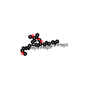 CCCCCCCC1(CCCCCCC)c2ccccc2-c2ccc(-c3ccc4c(c3)C(C)(C)c3cc(-c5cc6c(c7c5oc5ccccc57)-c5ccc(CC(c7ccc8c(c7)C(C)(C)c7cc9c(cc7-8)C(C)(C)c7ccc8oc%10ccccc%10c8c7-9)c7ccc8c(c7)C(C)(C)c7c9c(c%10oc%11ccccc%11c%10c7-8)-c7ccccc7C9(C)C)cc5C6(CCCCCCC)CCCCCCC)ccc3-4)cc21